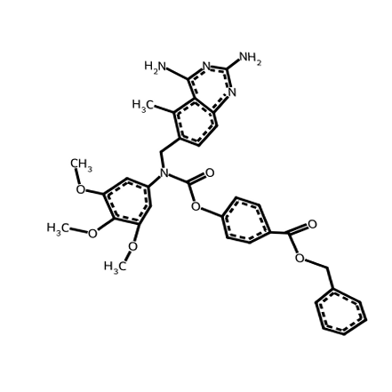 COc1cc(N(Cc2ccc3nc(N)nc(N)c3c2C)C(=O)Oc2ccc(C(=O)OCc3ccccc3)cc2)cc(OC)c1OC